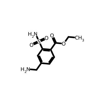 CCOC(=O)c1ccc(CN)cc1S(N)(=O)=O